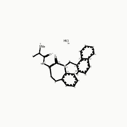 CNC(C)C(=O)NC1CCc2ccccc2N(Cc2c(C)ccc3ccccc23)C1=O.Cl